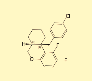 Fc1ccc2c(c1F)[C@@]1(Cc3ccc(Cl)cc3)CCCC[C@H]1CO2